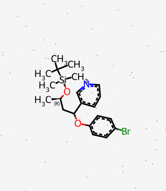 C[C@H](CC(Oc1ccc(Br)cc1)c1cccnc1)O[Si](C)(C)C(C)(C)C